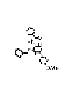 COc1ccc(-c2cnc(NC(=O)c3ccccc3)c(CCc3ccccc3)n2)cc1